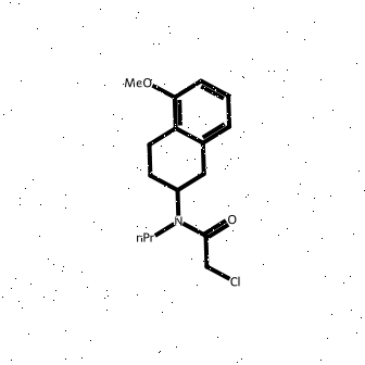 CCCN(C(=O)CCl)C1CCc2c(cccc2OC)C1